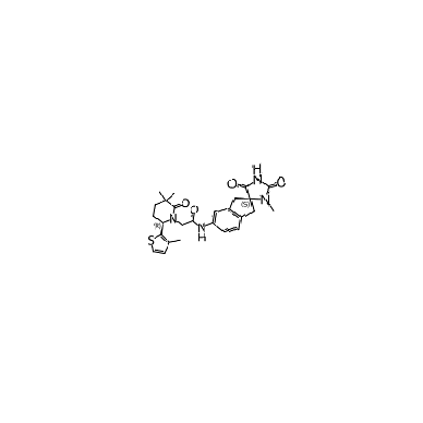 Cc1ccsc1[C@H]1CCC(C)(C)C(=O)N1CC(=O)Nc1ccc2c(c1)C[C@@]1(C2)C(=O)NC(=O)N1C